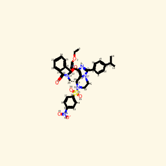 CCO/C=C\c1nc(-c2ccc(C(C)C)cc2)n2c1[C@@H](CN1C(=O)c3ccccc3C1=O)N(S(=O)(=O)c1ccc([N+](=O)[O-])cc1)CC2